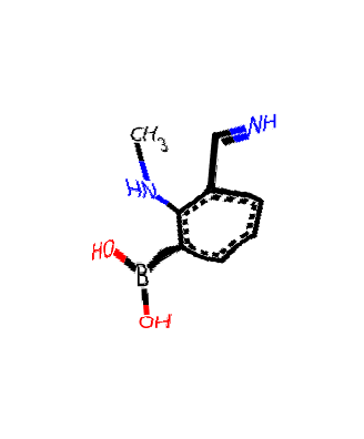 CNc1c(C=N)cccc1B(O)O